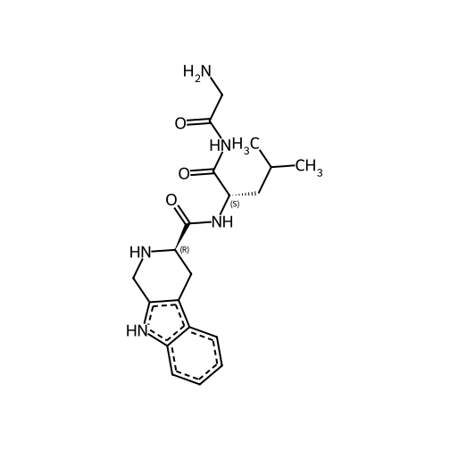 CC(C)C[C@H](NC(=O)[C@H]1Cc2c([nH]c3ccccc23)CN1)C(=O)NC(=O)CN